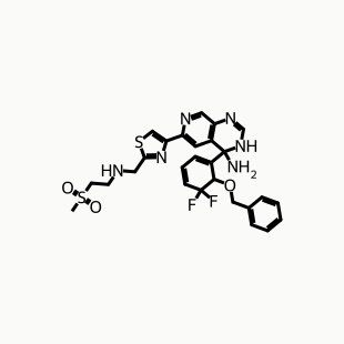 CS(=O)(=O)CCNCc1nc(-c2cc3c(cn2)N=CNC3(N)C2=CC=CC(F)(F)C2OCc2ccccc2)cs1